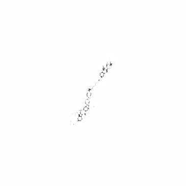 CCc1cc2c(cc1N1CCC(N3CCN(C(=O)CCCCCCOc4ccc5c(c4)CN(C4CCC(=O)NC4=O)C5=O)CC3)CC1)C(C)(C)c1[nH]c3cc(C#N)ccc3c1C2=O